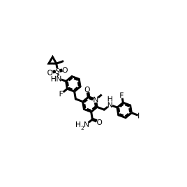 Cn1c(CNc2ccc(I)cc2F)c(C(N)=O)cc(Cc2cccc(NS(=O)(=O)C3(C)CC3)c2F)c1=O